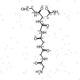 NCC(=O)NCC(=O)NCC(=O)NCC(=O)N[C@@H](CC(N)=O)C(=O)NC[C]=O